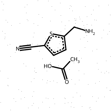 CC(=O)O.N#Cc1ccc(CN)s1